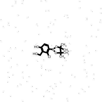 CC1(C)OB(c2ccc(O)c(CO)c2Cl)OC1(C)C